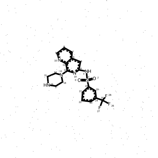 O=S(=O)(Nc1cc2cccnc2c(N2CCNCC2)n1)c1cccc(C(F)(F)F)c1